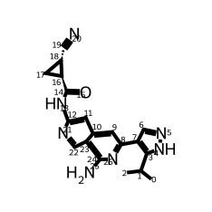 CC(C)c1[nH]ncc1-c1cc2cc(NC(=O)[C@H]3C[C@@H]3C#N)ncc2c(N)n1